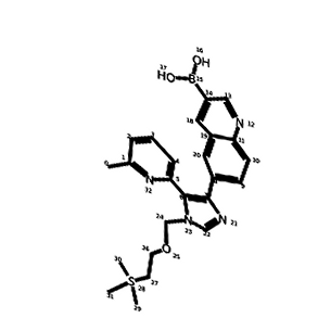 Cc1cccc(-c2c(-c3ccc4ncc(B(O)O)cc4c3)ncn2COCCS(C)(C)C)n1